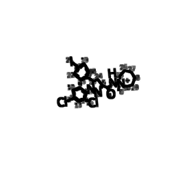 C[N+]1(NC(=O)C2=NN(c3ccc(Cl)cc3Cl)C(c3ccc(I)cc3)C2)CCCCCC1